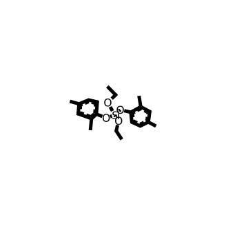 CCO[Si](OCC)(Oc1ccc(C)cc1C)Oc1ccc(C)cc1C